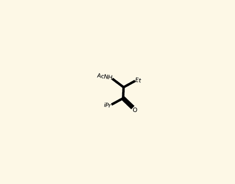 CCC(NC(C)=O)C(=O)C(C)C